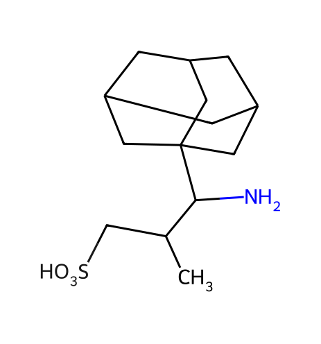 CC(CS(=O)(=O)O)C(N)C12CC3CC(CC(C3)C1)C2